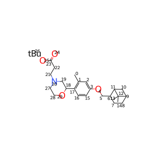 Cc1cc(OCC2CCC3CC2C3(C)C)ccc1C1CN(CCC(=O)OC(C)(C)C)CCO1